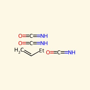 C=CCC.N=C=O.N=C=O.N=C=O